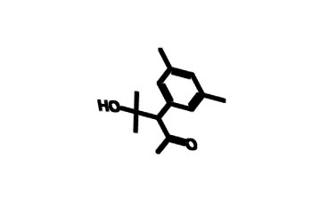 CC(=O)C(c1cc(C)cc(C)c1)C(C)(C)O